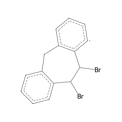 BrC1c2[c]cccc2Cc2ccccc2C1Br